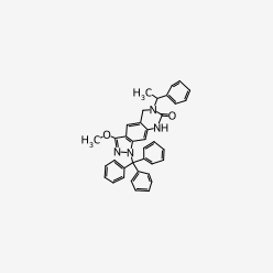 COc1nn(C(c2ccccc2)(c2ccccc2)c2ccccc2)c2cc3c(cc12)CN(C(C)c1ccccc1)C(=O)N3